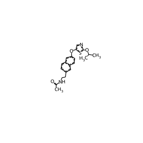 CC(=O)NCCc1ccc2cc(Oc3cnc(OC(C)C)s3)ccc2c1